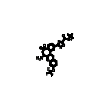 CC(C)(C)NC(=O)c1nc(-c2ccc3c(c2)N(Cc2ccc(OC(F)(F)F)cc2)C(=O)[C@@H](N)CS3(=O)=O)no1